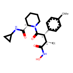 CC[C@H](C(=O)NO)[C@H](C(=O)N1CCCC[C@H]1C(=O)NC1CC1)c1ccc(OC)cc1